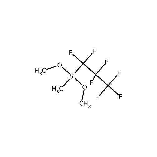 CO[Si](C)(OC)C(F)(F)C(F)(F)C(F)(F)F